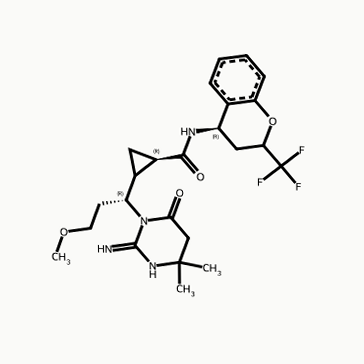 COCC[C@H](C1C[C@H]1C(=O)N[C@@H]1CC(C(F)(F)F)Oc2ccccc21)N1C(=N)NC(C)(C)CC1=O